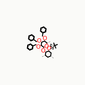 C[C@@H]1C[C@H](C)[C@@H](O[C@@H]2O[C@@H](C)[C@@H](OCc3ccccc3)[C@@H](OCc3ccccc3)[C@@H]2OCc2ccccc2)[C@H](O[Si](C)(C)C(C)(C)C)C1